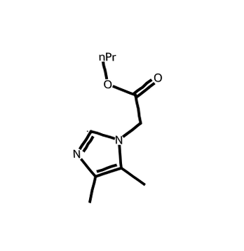 CCCOC(=O)Cn1[c]nc(C)c1C